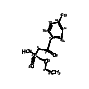 CCOP(=O)(O)CC(=O)c1ccc(F)cc1